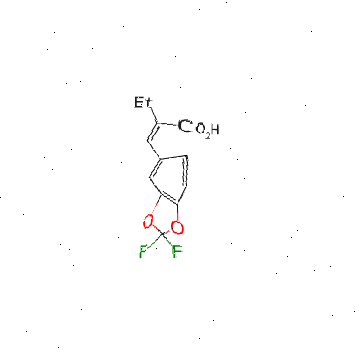 CCC(=Cc1ccc2c(c1)OC(F)(F)O2)C(=O)O